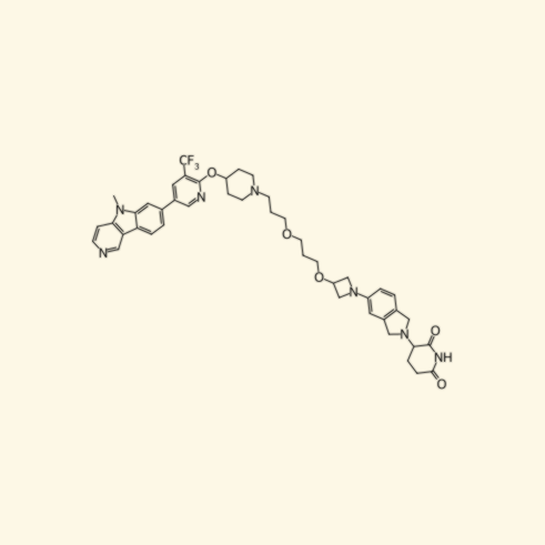 Cn1c2ccncc2c2ccc(-c3cnc(OC4CCN(CCCOCCCOC5CN(c6ccc7c(c6)CN(C6CCC(=O)NC6=O)C7)C5)CC4)c(C(F)(F)F)c3)cc21